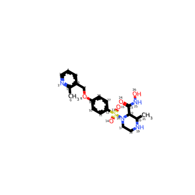 Cc1ncccc1COc1ccc(S(=O)(=O)N2CCNC(C)C2C(=O)NO)cc1